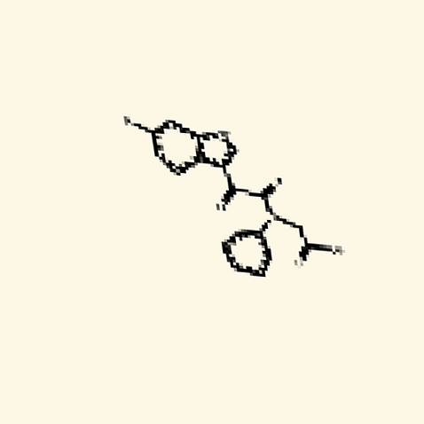 O=C(O)CN(C(=O)C(=O)c1c[nH]c2cc(F)ccc12)c1ccccc1